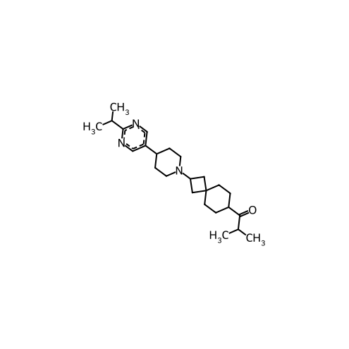 CC(C)C(=O)C1CCC2(CC1)CC(N1CCC(c3cnc(C(C)C)nc3)CC1)C2